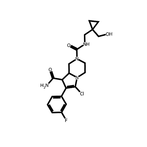 NC(=O)C1C(c2cccc(F)c2)=C(Cl)N2CCN(C(=O)NCC3(CO)CC3)CC12